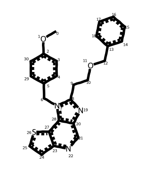 COc1ccc(Cn2c(CCOCc3ccccc3)nc3cnc4ccsc4c32)cc1